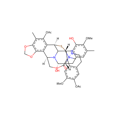 COc1cc2c(cc1OC(C)=O)CCN[C@]21CS[C@@H]2c3c(OC(C)=O)c(C)c4c(c3[C@H](COC1=O)N1C2[C@@H]2c3c(cc(C)c(OC)c3O)C[C@H]([C@@H]1O)N2C)OCO4